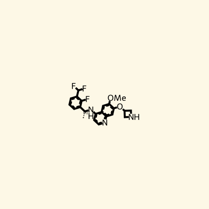 COc1cc2c(N[C@H](C)c3cccc(C(F)F)c3F)ccnc2cc1OC1CNC1